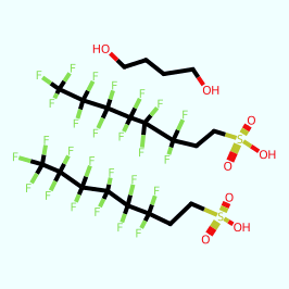 O=S(=O)(O)CCC(F)(F)C(F)(F)C(F)(F)C(F)(F)C(F)(F)C(F)(F)F.O=S(=O)(O)CCC(F)(F)C(F)(F)C(F)(F)C(F)(F)C(F)(F)C(F)(F)F.OCCCCO